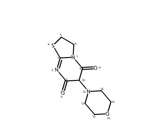 O=C1N=C2SCCN2C(=O)C1N1CCOCC1